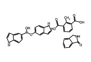 Cc1c(C(=O)O)cccc1C(=O)O.O=C1NCc2ccccc21.OB(Oc1ccc2[nH]ccc2c1)c1ccc2[nH]ccc2c1